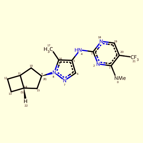 CNc1nc(Nc2cnn([C@@H]3CC4CC[C@H]4C3)c2C)ncc1C(F)(F)F